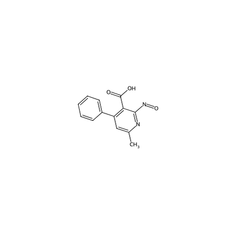 Cc1cc(-c2ccccc2)c(C(=O)O)c(N=O)n1